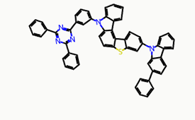 c1ccc(-c2ccc3c4ccccc4n(-c4ccc5c(c4)sc4ccc6c(c7ccccc7n6-c6cccc(-c7nc(-c8ccccc8)nc(-c8ccccc8)n7)c6)c45)c3c2)cc1